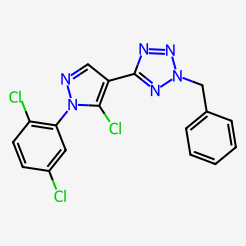 Clc1ccc(Cl)c(-n2ncc(-c3nnn(Cc4ccccc4)n3)c2Cl)c1